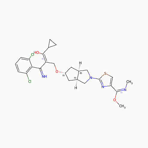 C/N=C(/OC)c1csc(N2C[C@H]3C[C@H](OC/C(C(=N)c4c(Cl)cccc4Cl)=C(/O)C4CC4)C[C@H]3C2)n1